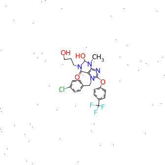 CN1c2nc(Oc3ccc(C(F)(F)F)cc3)n(Cc3ccc(Cl)cc3)c2C(=O)N(CCCO)C1O